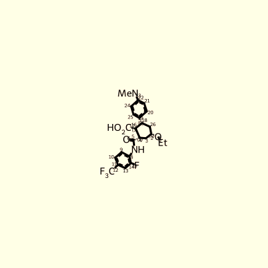 CCO[C@@H]1C[C@H](C(=O)Nc2ccc(C(F)(F)F)cc2F)[C@@H](C(=O)O)[C@H](c2ccc(NC)cc2)C1